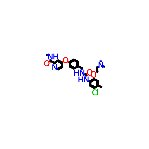 CNC(=O)c1cc(Oc2ccc(CNC(=O)Nc3cc(Cl)c(C)cc3OCCN(C)C)cc2)ccn1